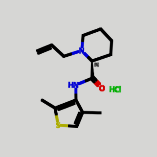 C=CCN1CCCC[C@H]1C(=O)Nc1c(C)csc1C.Cl